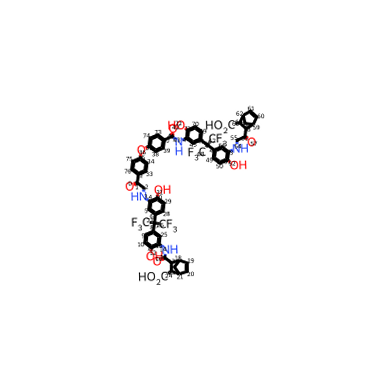 O=C(CNc1cc(C(c2ccc(O)c(NC(=O)C3C4C=CC(C4)C3C(=O)O)c2)(C(F)(F)F)C(F)(F)F)ccc1O)c1ccc(Oc2ccc(C(=O)Nc3cc(C(c4ccc(O)c(NCC(=O)C5C6C=CC(C6)C5C(=O)O)c4)(C(F)(F)F)C(F)(F)F)ccc3O)cc2)cc1